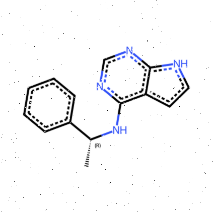 C[C@@H](Nc1ncnc2[nH]ccc12)c1ccccc1